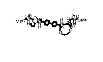 COC(=O)N[C@H](C(=O)N1CCC[C@H]1c1ncc(-c2ccc(-c3ccc(-c4[nH]c5nc4COCCCCO[C@H]4C[C@@H]5N(C(=O)[C@@H](NC(=O)OC)C(C)C)C4)cc3)cc2)[nH]1)C(C)C